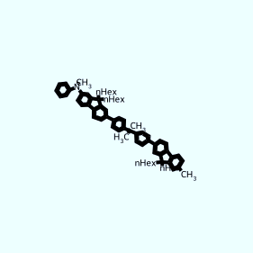 CCCCCCC1(CCCCCC)c2cc(C)ccc2-c2ccc(-c3ccc(C(C)(C)c4ccc(-c5ccc6c(c5)C(CCCCCC)(CCCCCC)c5cc(N(C)c7ccccc7)ccc5-6)cc4)cc3)cc21